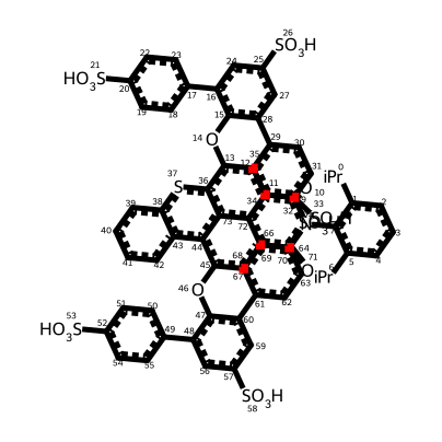 CC(C)c1cccc(C(C)C)c1-n1c(=O)c2cc(Oc3c(-c4ccc(S(=O)(=O)O)cc4)cc(S(=O)(=O)O)cc3-c3ccc(S(=O)(=O)O)cc3)c3sc4ccccc4c4c(Oc5c(-c6ccc(S(=O)(=O)O)cc6)cc(S(=O)(=O)O)cc5-c5ccc(S(=O)(=O)O)cc5)cc(c1=O)c2c34